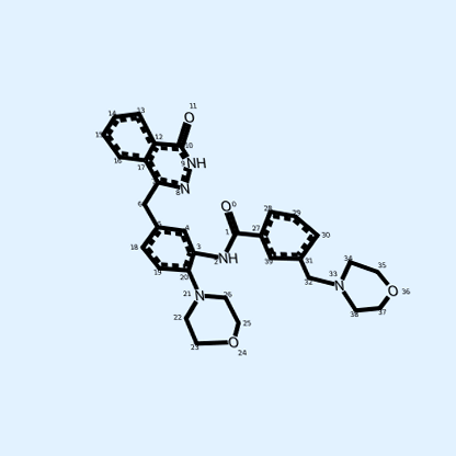 O=C(Nc1cc(Cc2n[nH]c(=O)c3ccccc23)ccc1N1CCOCC1)c1cccc(CN2CCOCC2)c1